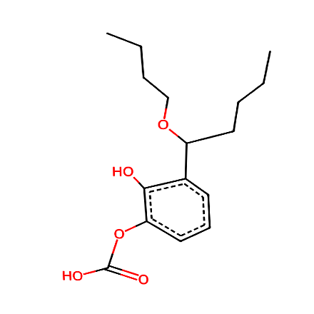 CCCCOC(CCCC)c1cccc(OC(=O)O)c1O